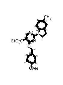 CCOC(=O)c1cnc(N2CCc3cc(C)ccc32)nc1OCc1ccc(OC)cc1